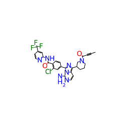 CC#CC(=O)N1CCCC(c2nc(-c3ccc(C(=O)Nc4cc(C(F)(F)F)ccn4)c(Cl)c3)n3c(N)nccc23)C1